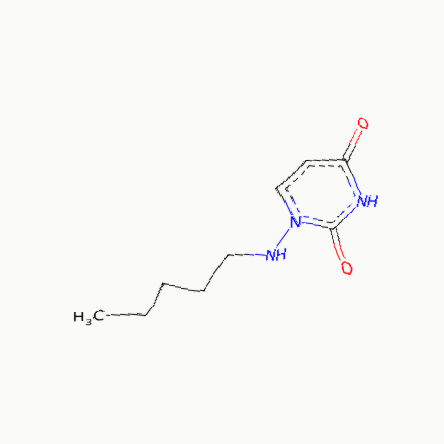 CCCCCNn1ccc(=O)[nH]c1=O